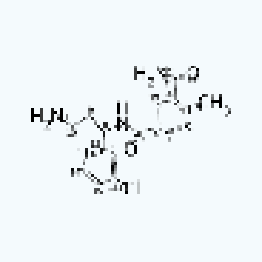 Cc1ccc(C(=O)NC(CCN)c2cccc(Cl)c2)cc1C(N)=O